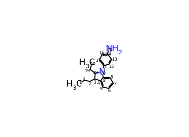 CCCC1c2ccccc2N(c2ccc(N)cc2)C1CC